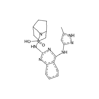 Cc1cc(Nc2nc(NC3CC4CCC(C3)N4C(=O)O)nc3ccccc23)n[nH]1